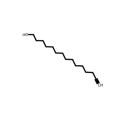 C#CCCCCCCCCCCCCCO